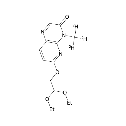 [2H]C([2H])([2H])n1c(=O)cnc2ccc(OCC(OCC)OCC)nc21